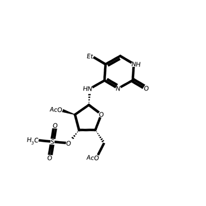 CCc1c[nH]c(=O)nc1N[C@@H]1O[C@H](COC(C)=O)[C@H](OS(C)(=O)=O)[C@H]1OC(C)=O